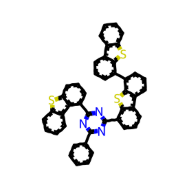 c1ccc(-c2nc(-c3cccc4c3sc3c(-c5cccc6c5sc5ccccc56)cccc34)nc(-c3cccc4sc5ccccc5c34)n2)cc1